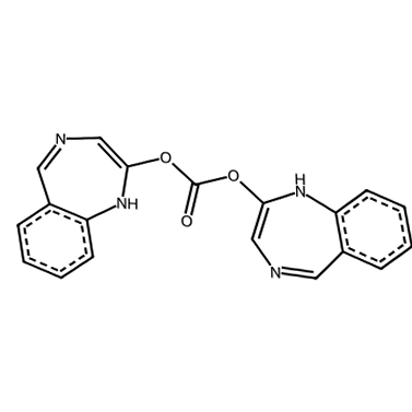 O=C(OC1=CN=Cc2ccccc2N1)OC1=CN=Cc2ccccc2N1